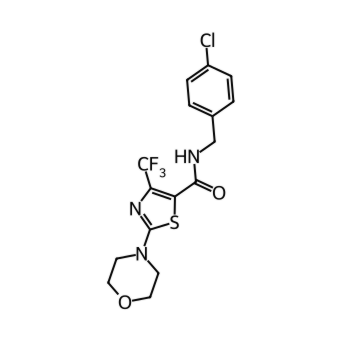 O=C(NCc1ccc(Cl)cc1)c1sc(N2CCOCC2)nc1C(F)(F)F